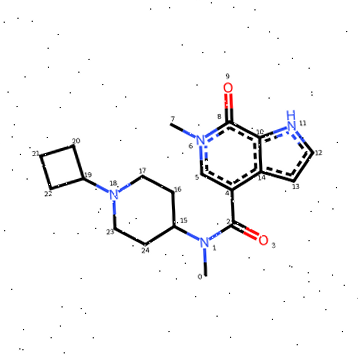 CN(C(=O)c1cn(C)c(=O)c2[nH]ccc12)C1CCN(C2CCC2)CC1